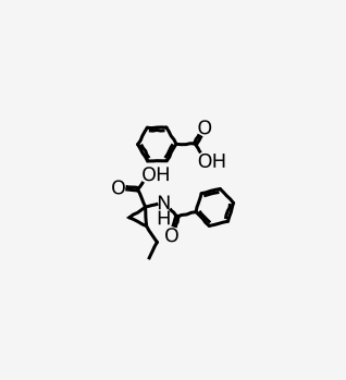 CCC1CC1(NC(=O)c1ccccc1)C(=O)O.O=C(O)c1ccccc1